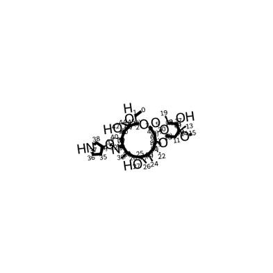 CC[C@H]1OC(=O)[C@H](C)[C@@H](O[C@H]2C[C@@](C)(OC)[C@@H](O)[C@H](C)O2)[C@H](C)[C@@H](C)[C@](C)(O)C[C@@H](C)C(=NO[C@@H]2CCNC2)[C@H](C)[C@@H](O)[C@]1(C)O